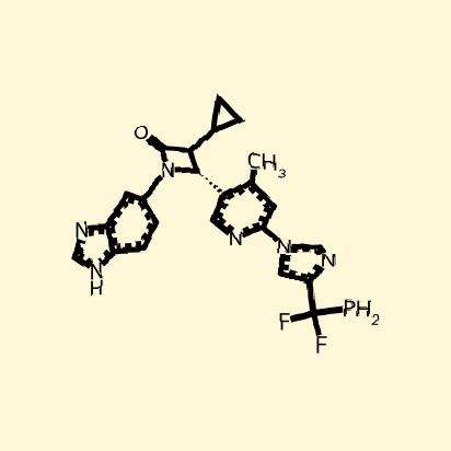 Cc1cc(-n2cnc(C(F)(F)P)c2)ncc1[C@H]1C(C2CC2)C(=O)N1c1ccc2[nH]cnc2c1